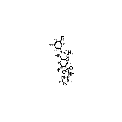 C[C@H](Nc1cc(F)c(S(=O)(=O)Nc2cscn2)cc1Cl)c1cc(F)cc(F)c1